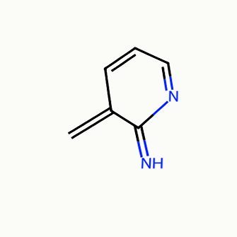 C=C1C=CC=NC1=N